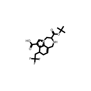 CC(C)(C)OC(=O)C1Cn2cc(C(=O)O)c3c2C(=CCC3CC(F)(F)F)CN1